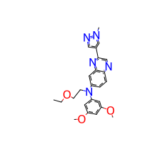 CCOCCN(c1cc(OC)cc(OC)c1)c1ccc2ncc(-c3cnn(C)c3)nc2c1